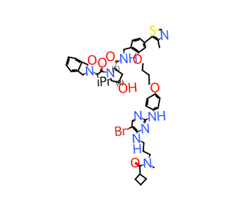 Cc1ncsc1-c1ccc(CNC(=O)[C@@H]2C[C@@H](O)CN2C(=O)C(C(C)C)N2Cc3ccccc3C2=O)c(OCCCCOc2ccc(Nc3ncc(Br)c(NCCCN(C)C(=O)C4CCC4)n3)cc2)c1